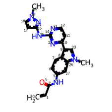 C=CC(=O)Nc1ccc2c(-c3ccnc(Nc4ccn(C)n4)n3)cn(C)c2c1